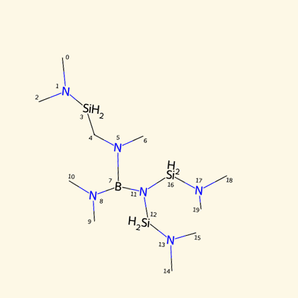 CN(C)[SiH2]CN(C)B(N(C)C)N([SiH2]N(C)C)[SiH2]N(C)C